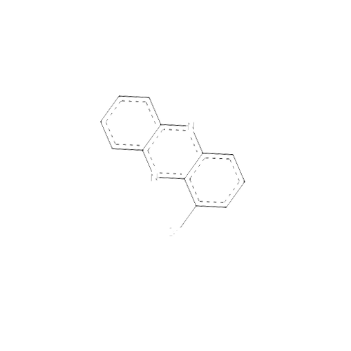 Brc1cccc2nc3ccccc3nc12